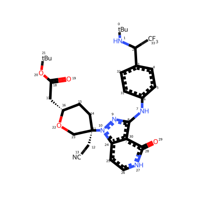 CC(C)(C)NC(c1ccc(Nc2nn([C@]3(CC#N)CC[C@@H](CC(=O)OC(C)(C)C)OC3)c3cc[nH]c(=O)c23)cc1)C(F)(F)F